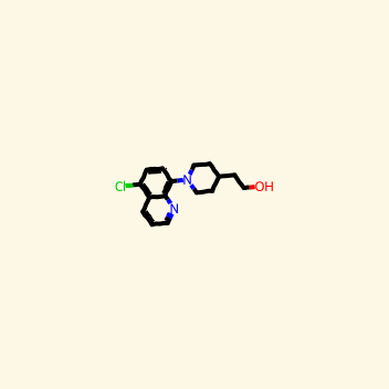 OCCC1CCN(c2[c]cc(Cl)c3cccnc23)CC1